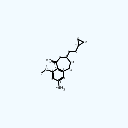 Bc1cc2c(c(OC)c1)C(=O)CC(CCC1CC1)CC2